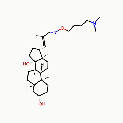 C/C(=C\[C@H]1CC[C@]2(O)[C@@H]3CC[C@@H]4C[C@@H](O)CC[C@]4(C)[C@H]3CC[C@]12C)CNOCCCCN(C)C